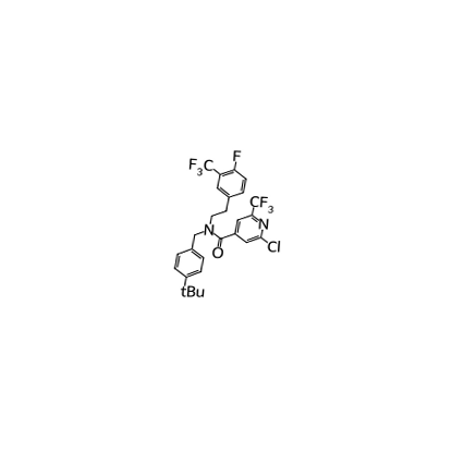 CC(C)(C)c1ccc(CN(CCc2ccc(F)c(C(F)(F)F)c2)C(=O)c2cc(Cl)nc(C(F)(F)F)c2)cc1